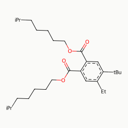 CCc1cc(C(=O)OCCCCCC(C)C)c(C(=O)OCCCCCC(C)C)cc1C(C)(C)C